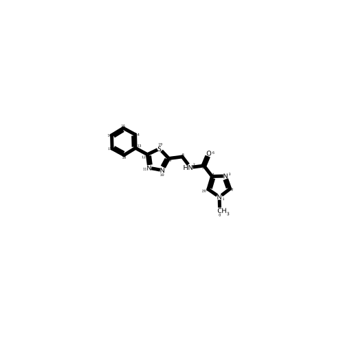 Cn1cnc(C(=O)NCc2nnc(-c3ccccc3)s2)c1